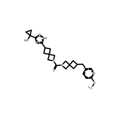 O=C(N1CC2(CC(Cc3ccc(OC(F)(F)F)nc3)C2)C1)N1CC2(CC(c3nc(C4(O)CC4)n[nH]3)C2)C1